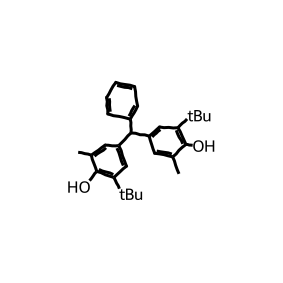 Cc1cc(C(c2ccccc2)c2cc(C)c(O)c(C(C)(C)C)c2)cc(C(C)(C)C)c1O